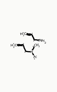 C=CCN.C=CCN(C)C(C)=O